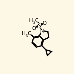 Cc1ccc(C2CC2)c2c1N(S(C)(=O)=O)CC2